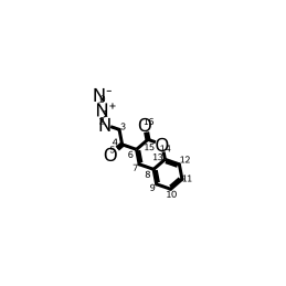 [N-]=[N+]=NCC(=O)c1cc2ccccc2oc1=O